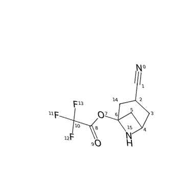 N#CC1CC2CC(OC(=O)C(F)(F)F)(C1)N2